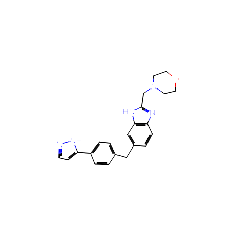 c1cc(-c2ccc(Cc3ccc4nc(CN5CCOCC5)[nH]c4c3)cc2)[nH]n1